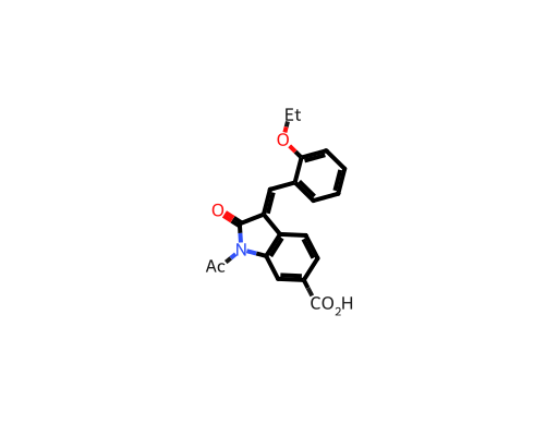 CCOc1ccccc1C=C1C(=O)N(C(C)=O)c2cc(C(=O)O)ccc21